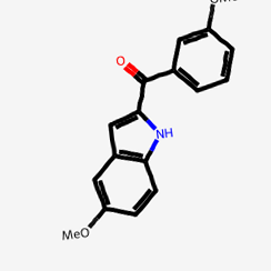 COc1cccc(C(=O)c2cc3cc(OC)ccc3[nH]2)c1